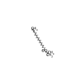 C=C(C)COC(=O)CCCCCCCCCCCCCCCCC